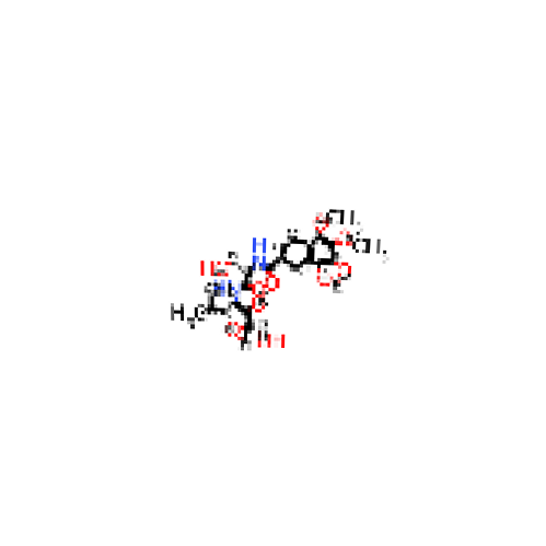 COc1c2c(c3c(c1OC)OCO3)CC(C(=O)N[C@@H](CO)C(=O)N[C@@H](CC(C)C)C(=O)[C@@]1(CO)CO1)CC2